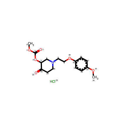 COC(=O)OC1CN(CCOc2ccc(OC)cc2)CCC1=O.Cl